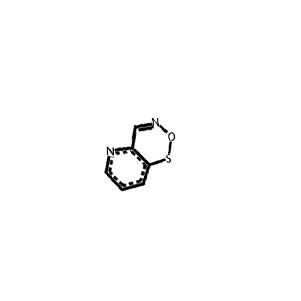 C1=NOSc2cccnc21